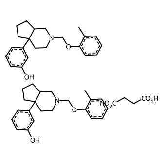 Cc1ccccc1OCN1CCC2(c3cccc(O)c3)CCCC2C1.Cc1ccccc1OCN1CCC2(c3cccc(O)c3)CCCC2C1.O=C(O)CCC(=O)O